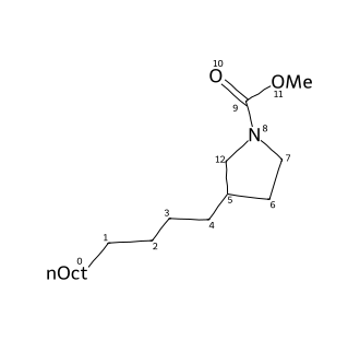 CCCCCCCCCCCCC1CCN(C(=O)OC)C1